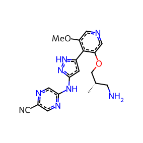 COc1cncc(OC[C@@H](C)CN)c1-c1cc(Nc2cnc(C#N)cn2)n[nH]1